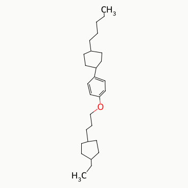 CCCCCC1CCC(c2ccc(OCCCC3CCC(CC)CC3)cc2)CC1